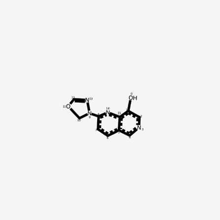 Oc1cncc2ccc(N3COC=N3)nc12